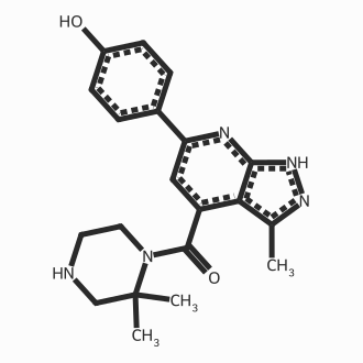 Cc1n[nH]c2nc(-c3ccc(O)cc3)cc(C(=O)N3CCNCC3(C)C)c12